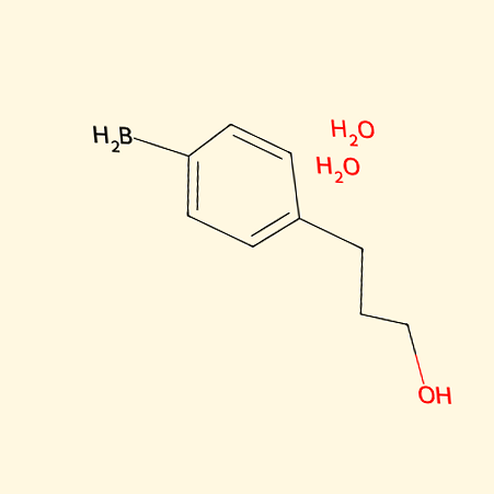 Bc1ccc(CCCO)cc1.O.O